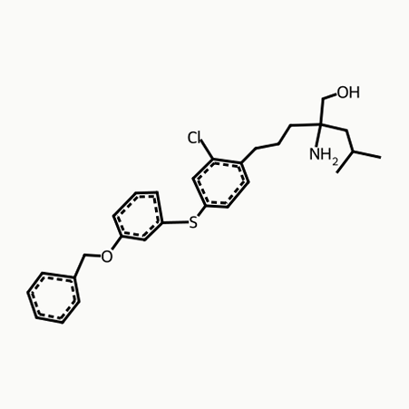 CC(C)CC(N)(CO)CCCc1ccc(Sc2cccc(OCc3ccccc3)c2)cc1Cl